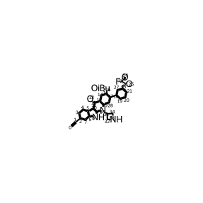 C#Cc1ccc2c(c1)[nH]c1c2c(=O)c2cc(OCC(C)C)c(-c3cccc(S(=O)(=O)F)c3)cc2n1C1CNC1